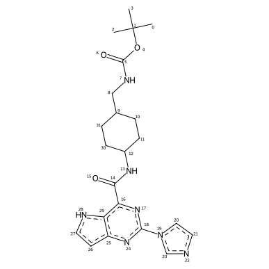 CC(C)(C)OC(=O)NCC1CCC(NC(=O)c2nc(-n3ccnc3)nc3cc[nH]c23)CC1